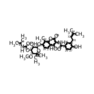 CO[C@@H]1[C@@H](OC(=O)NC(C)C)[C@@H](O)[C@H](Oc2ccc3c(O)c(NC(=O)c4ccc(O)c(CC=C(C)C)c4)c(=O)oc3c2C)OC1(C)C